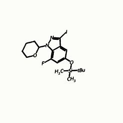 CC(C)(C)[Si](C)(C)Oc1cc(F)c2c(c1)c(I)nn2C1CCCCO1